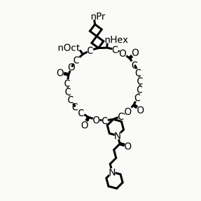 CCCCCCCCC1COC(=O)CCCCCC(=O)OCC2(CCN(C(=O)CCCN3CCCCC3)CC2)COC(=O)CCCCCC(=O)OCC(CCCCCC)C2(C1)CC1(CC(CCC)C1)C2